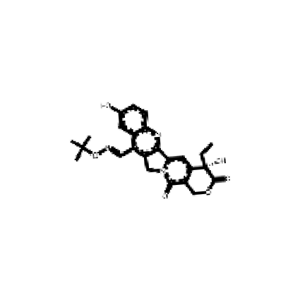 CC[C@@]1(O)C(=O)OCc2c1cc1n(c2=O)Cc2c-1nc1ccc(O)cc1c2/C=N/OC(C)(C)C